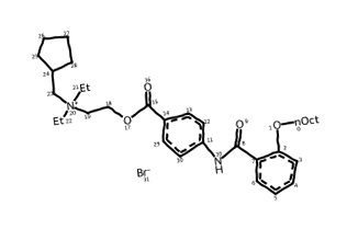 CCCCCCCCOc1ccccc1C(=O)Nc1ccc(C(=O)OCC[N+](CC)(CC)CC2CCCC2)cc1.[Br-]